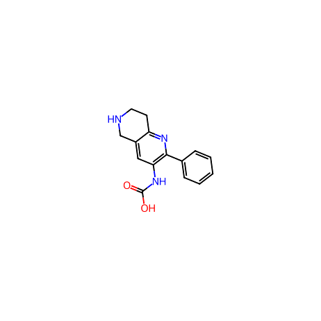 O=C(O)Nc1cc2c(nc1-c1ccccc1)CCNC2